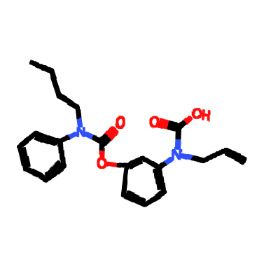 C=CCN(C(=O)O)c1cccc(OC(=O)N(CCCC)c2ccccc2)c1